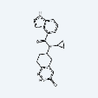 O=C(c1cccc2[nH]ccc12)N(C1CC1)C1CCc2n[nH]c(=O)cc2C1